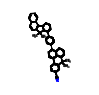 CC1(C)C2=C(c3cccc(-c4ccc(-c5ccc6c7c(cccc57)C(C)(C)c5cc(C#N)ccc5-6)cc4)c31)C1C=CC=CC1C=C2